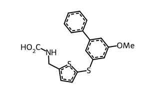 COc1cc(Sc2ccc(CNC(=O)O)s2)cc(-c2ccccc2)c1